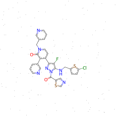 O=C(c1cncs1)n1nc(-c2ccn(Cc3cccnc3)c(=O)c2-c2cccnc2)c(F)c1NCc1ccc(Cl)s1